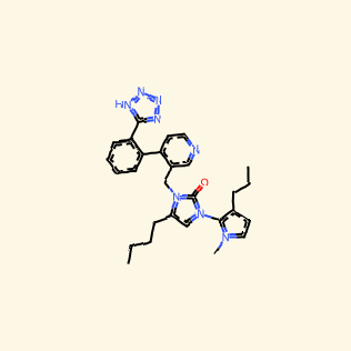 CCCCc1cn(-c2c(CCC)ccn2C)c(=O)n1Cc1cnccc1-c1ccccc1-c1nnn[nH]1